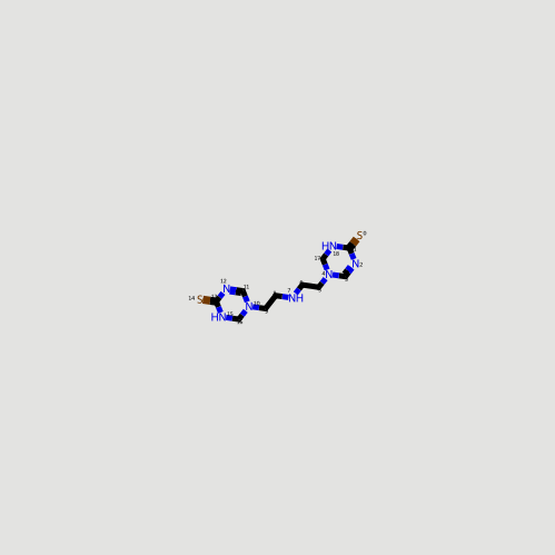 S=C1N=CN(CCNCCN2C=NC(=S)NC2)CN1